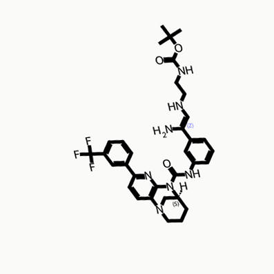 CC(C)(C)OC(=O)NCCN/C=C(\N)c1cccc(NC(=O)N2c3nc(-c4cccc(C(F)(F)F)c4)ccc3N3CCC[C@H]2C3)c1